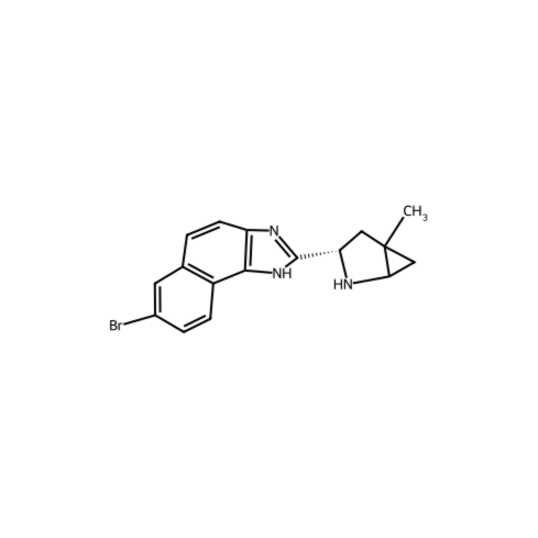 CC12CC1N[C@H](c1nc3ccc4cc(Br)ccc4c3[nH]1)C2